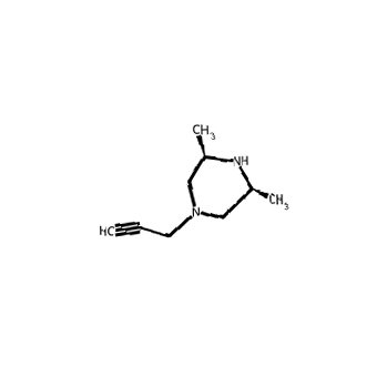 C#CCN1C[C@@H](C)N[C@@H](C)C1